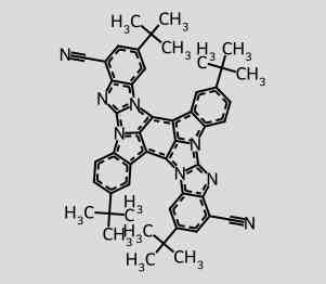 CC(C)(C)c1ccc2c(c1)c1c3c4c(c5cc(C(C)(C)C)ccc5n4c4nc5c(C#N)cc(C(C)(C)C)cc5n34)c3c1n2c1nc2c(C#N)cc(C(C)(C)C)cc2n31